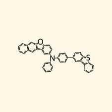 c1ccc(N(c2ccc(-c3ccc4sc5ccccc5c4c3)cc2)c2ccc3oc4cc5ccccc5cc4c3c2)cc1